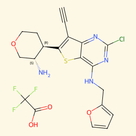 C#Cc1c([C@@H]2CCOC[C@H]2N)sc2c(NCc3ccco3)nc(Cl)nc12.O=C(O)C(F)(F)F